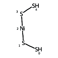 S[S][Ni][S]S